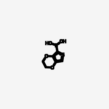 OB(O)c1scc2c1OCCO2